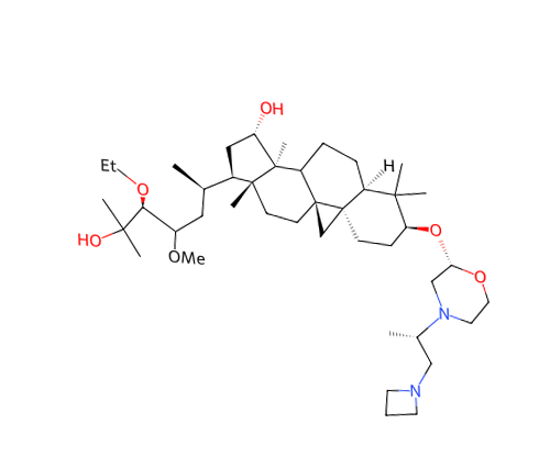 CCO[C@@H](C(C[C@@H](C)[C@H]1C[C@H](O)[C@@]2(C)C3CC[C@H]4C(C)(C)[C@@H](O[C@H]5CN([C@@H](C)CN6CCC6)CCO5)CC[C@@]45C[C@@]35CC[C@]12C)OC)C(C)(C)O